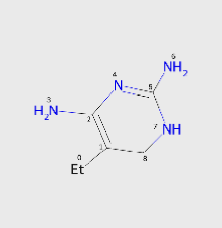 CCC1=C(N)N=C(N)NC1